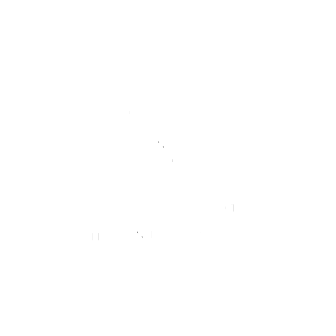 CC(Oc1cc(NC(=O)O)c(F)cc1C(=O)Nc1c(F)cccc1Cl)C(F)(F)F